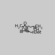 C=C(C)C(=O)NCCCN(C)C.CCCCCCCCCCCCCCBr